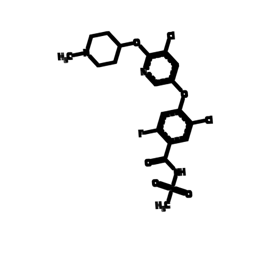 CN1CCC(Oc2ncc(Oc3cc(F)c(C(=O)NS(C)(=O)=O)cc3Cl)cc2Cl)CC1